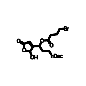 CCCCCCCCCCCCC(OC(=O)CCCBr)C1=CC(=O)OC1O